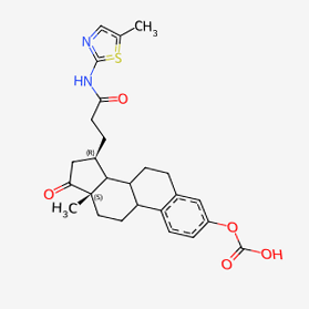 Cc1cnc(NC(=O)CC[C@@H]2CC(=O)[C@@]3(C)CCC4c5ccc(OC(=O)O)cc5CCC4C23)s1